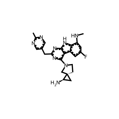 CNc1cc(F)cc2c1[nH]c1nc(Cc3cnc(C)nc3)nc(N3CC[C@@]4(C[C@H]4N)C3)c12